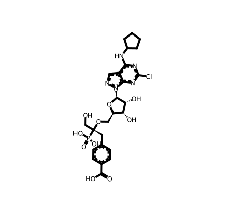 O=C(O)c1ccc(C[C@@](CO)(OC[C@H]2O[C@@H](n3ncc4c(NC5CCCC5)nc(Cl)nc43)[C@H](O)[C@@H]2O)P(=O)(O)O)cc1